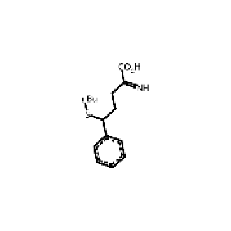 CCCCSC(CCC(=N)C(=O)O)c1ccccc1